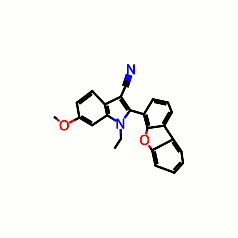 CCn1c(-c2cccc3c2oc2ccccc23)c(C#N)c2ccc(OC)cc21